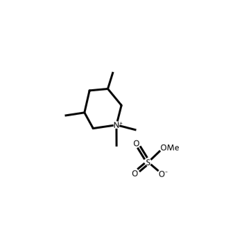 CC1CC(C)C[N+](C)(C)C1.COS(=O)(=O)[O-]